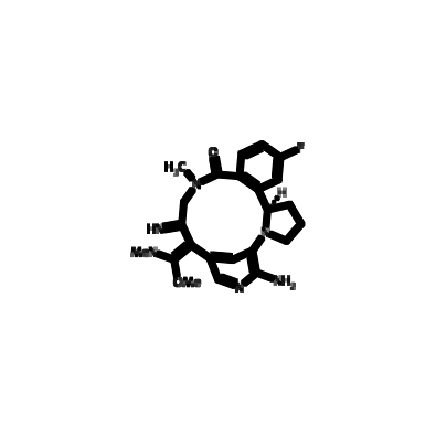 CN/C(OC)=C1\C(=N)CN(C)C(=O)c2ccc(F)cc2[C@H]2CCCN2c2cc1cnc2N